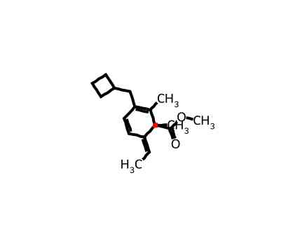 C\C=C(/C=C\C(CC1CCC1)=C(\C)CC)CC(=O)OC